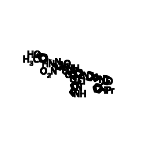 CC(C)c1ccccc1[C@@H]1COCCN1C1CC2(CCN(c3ccc(C(=O)NS(=O)(=O)c4cnc(NC[C@H]5CC[C@](C)(O)CC5)c([N+](=O)[O-])c4)c(Oc4cc5cc[nH]c5nc4Cl)c3)CC2)C1